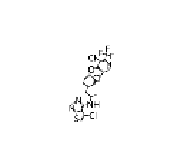 CC(Cc1ccc(Oc2c(Cl)cnc(C(F)(F)F)c2Cl)cc1)Nc1ncnc2scc(Cl)c12